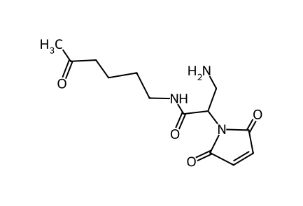 CC(=O)CCCCNC(=O)C(CN)N1C(=O)C=CC1=O